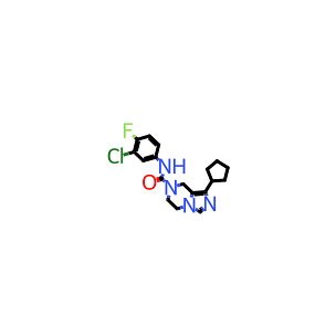 O=C(Nc1ccc(F)c(Cl)c1)N1CCn2cnc(C3CCCC3)c2C1